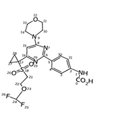 O=C(O)Nc1ccc(-c2nc(N3CCOCC3)cc(C3(S(=O)(=O)CCOC(F)F)CC3)n2)cc1